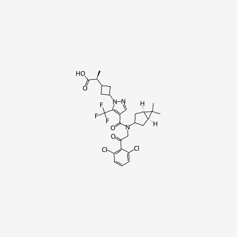 C[C@H](C(=O)O)C1CC(n2ncc(C(=O)N(CC(=O)c3c(Cl)cccc3Cl)C3C[C@@H]4[C@H](C3)C4(C)C)c2C(F)(F)F)C1